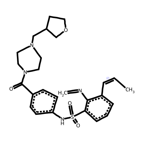 C=Nc1c(/C=C\C)cccc1S(=O)(=O)Nc1ccc(C(=O)N2CCN(CC3CCOC3)CC2)cc1